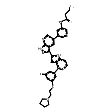 CCCC(=O)Nc1cncc(-c2cnc3[nH]nc(-c4cc5c(-c6cc(F)cc(OCCN7CCCC7)c6)nccc5[nH]4)c3c2)c1